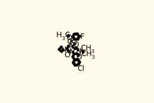 COc1ccc(F)cc1S(=O)(=O)N1CC(N2CCC2)C(=O)N2C1=CN(C(C)C)C(=O)C2Cc1ccc(Cl)cc1